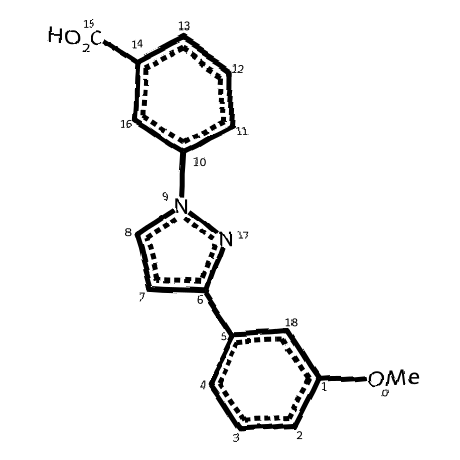 COc1cccc(-c2ccn(-c3cccc(C(=O)O)c3)n2)c1